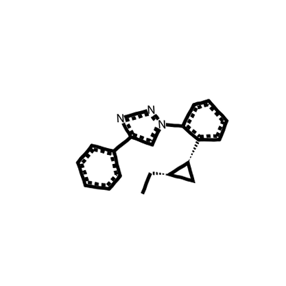 CC[C@H]1C[C@H]1c1ccccc1-n1cc(-c2ccccc2)nn1